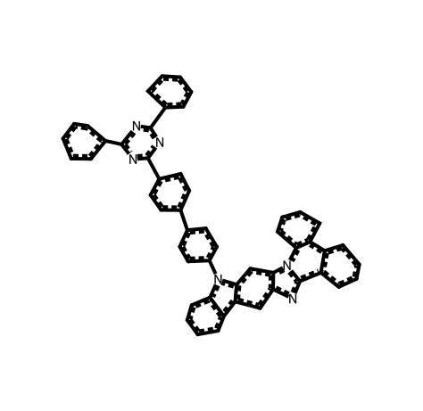 c1ccc(-c2nc(-c3ccccc3)nc(-c3ccc(-c4ccc(-n5c6ccccc6c6cc7nc8c9ccccc9c9ccccc9n8c7cc65)cc4)cc3)n2)cc1